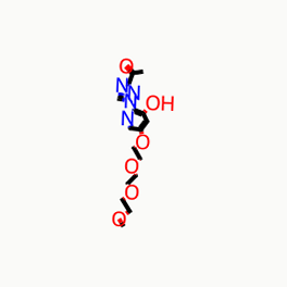 COCCOCCOCCOc1cnc(-n2cnc(C(C)=O)n2)c(O)c1